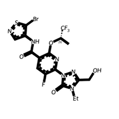 CCn1c(CO)nn(-c2nc(O[C@@H](C)C(F)(F)F)c(C(=O)Nc3cnsc3Br)cc2F)c1=O